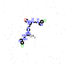 Cc1cc(NCCNc2ccnc3cc(Cl)ccc23)nc(N2CCN(CCc3cc(NCCCNc4ccnc5cc(Cl)ccc45)nc(N4CCOCC4)n3)CC2)n1